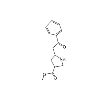 COC(=O)C1CNC(CC(=O)c2ccccc2)C1